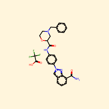 NC(=O)c1cccc2cn(-c3ccc(NC(=O)C4CN(Cc5ccccc5)CCO4)cc3)nc12.O=C(O)C(F)(F)F